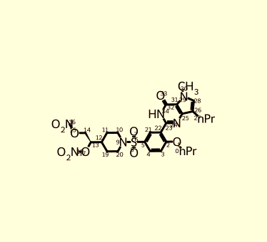 CCCOc1ccc(S(=O)(=O)N2CCC([C@H](CO[N+](=O)[O-])O[N+](=O)[O-])CC2)cc1-c1nc2c(CCC)cn(C)c2c(=O)[nH]1